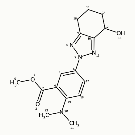 COC(=O)c1cc(-n2nc3c(n2)C(O)CCC3)ccc1N(C)C